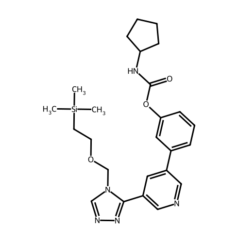 C[Si](C)(C)CCOCn1cnnc1-c1cncc(-c2cccc(OC(=O)NC3CCCC3)c2)c1